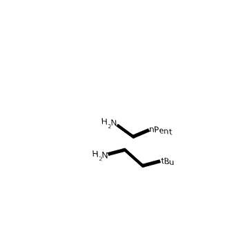 CC(C)(C)CCN.CCCCCCN